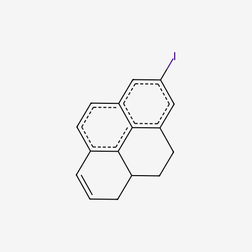 Ic1cc2c3c4c(ccc3c1)C=CCC4CC2